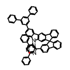 c1ccc(-c2cc(-c3ccccc3)cc(-c3ccc4c(c3)c3cc5c(cc3n4-c3ccccc3)C3(c4ccccc4-c4ccc(-c6nc(-c7ccccc7)nc(-c7ccccc7)n6)cc43)c3ccccc3-5)c2)cc1